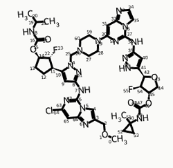 COCc1cn2c(Nc3cc([C@H]4CC[C@@H](OC(=O)NC(C)C)[C@@H]4F)n(CN4CCN(c5cc6nccn6c(Nc6cc([C@H]7OC[C@@H](OC(=O)NC8(C)CC8)[C@H]7F)[nH]n6)n5)CC4)n3)nc(Cl)cc2n1